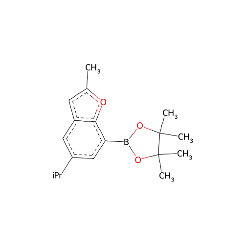 Cc1cc2cc(C(C)C)cc(B3OC(C)(C)C(C)(C)O3)c2o1